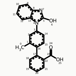 Cc1cc(-n2c(O)nc3ccccc32)ccc1-c1ccccc1C(=O)O